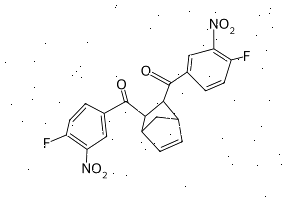 O=C(c1ccc(F)c([N+](=O)[O-])c1)C1C2C=CC(C2)C1C(=O)c1ccc(F)c([N+](=O)[O-])c1